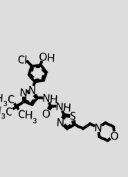 CC(C)(C)c1cc(NC(=O)Nc2ncc(CCN3CCOCC3)s2)n(-c2ccc(O)c(Cl)c2)n1